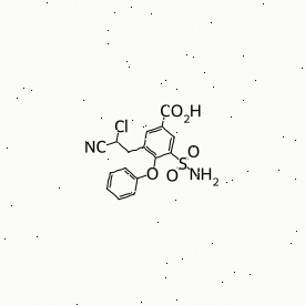 N#CC(Cl)Cc1cc(C(=O)O)cc(S(N)(=O)=O)c1Oc1ccccc1